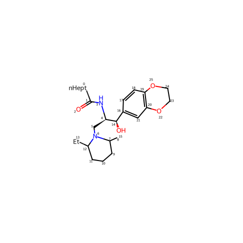 CCCCCCCC(=O)N[C@H](CN1C(C)CCCC1CC)[C@H](O)c1ccc2c(c1)OCCO2